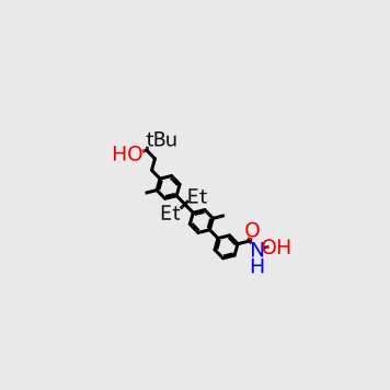 CCC(CC)(c1ccc(CCC(O)C(C)(C)C)c(C)c1)c1ccc(-c2cccc(C(=O)NO)c2)c(C)c1